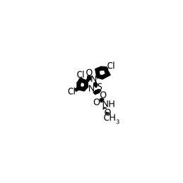 COCNC(=O)Oc1cnc(N(C(=O)c2ccc(Cl)cc2Cl)c2ccc(Cl)cc2)s1